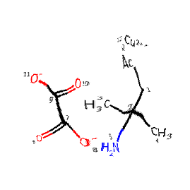 CC(=O)CC(C)(C)N.O=C([O-])C(=O)[O-].[Cu+2]